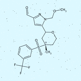 COCn1nc(C=O)cc1C1C[C@@](C)(S(=O)(=O)c2cccc(C(F)(F)F)c2)CCO1